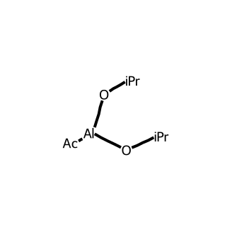 C[C](=O)[Al]([O]C(C)C)[O]C(C)C